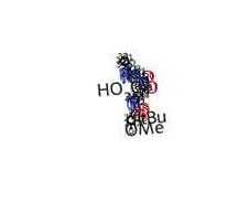 COc1ccc(CN(C(=O)OC(C)(C)C)c2cc(C[C@H]3C(=O)N(C(=O)N4CCn5c(nnc5-c5ccccc5)C4)[C@@H]3C(=O)O)ccn2)cc1